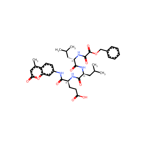 Cc1cc(=O)oc2cc(NC(=O)[C@H](CCC(=O)O)NC(=O)[C@H](CC(C)C)NC(=O)[C@H](CC(C)C)NC(=O)C(=O)OCc3ccccc3)ccc12